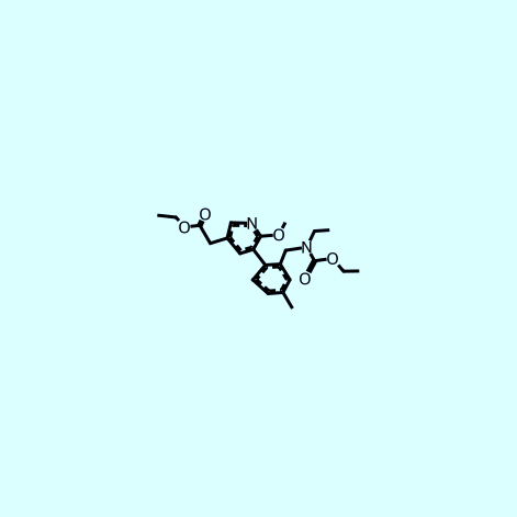 CCOC(=O)Cc1cnc(OC)c(-c2ccc(C)cc2CN(CC)C(=O)OCC)c1